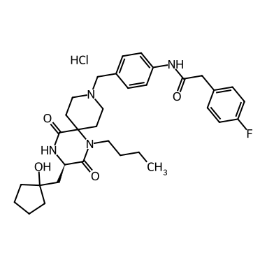 CCCCN1C(=O)[C@@H](CC2(O)CCCC2)NC(=O)C12CCN(Cc1ccc(NC(=O)Cc3ccc(F)cc3)cc1)CC2.Cl